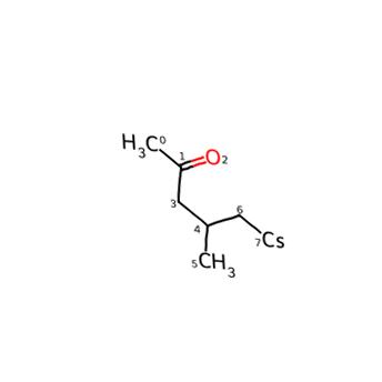 CC(=O)CC(C)[CH2][Cs]